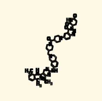 Cc1cccc(C)c1Nc1nn(C)c2nc(Nc3ccc4c(c3)CN(CC3CCN(C(=O)C5CCN(c6ccc7nnn(C8CCC(=O)NC8=O)c(=O)c7c6)CC5)CC3)CC4)ncc12